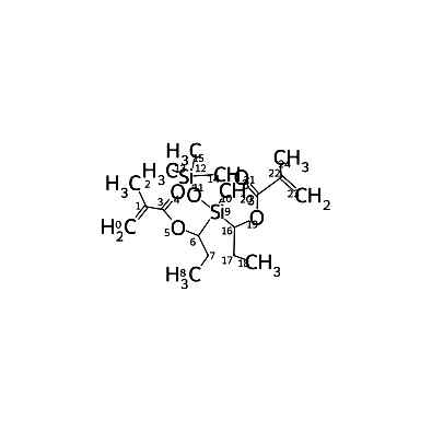 C=C(C)C(=O)OC(CC)[Si](C)(O[Si](C)(C)C)C(CC)OC(=O)C(=C)C